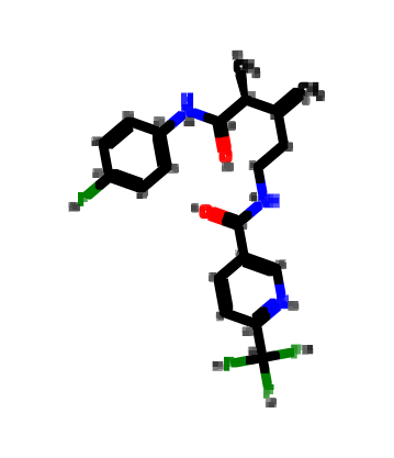 C=C(CCNC(=O)c1ccc(C(F)(F)F)nc1)[C@H](C)C(=O)Nc1ccc(F)cc1